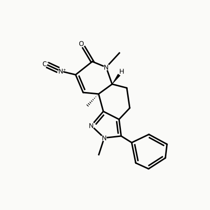 [C-]#[N+]C1=C[C@]2(C)c3nn(C)c(-c4ccccc4)c3CC[C@H]2N(C)C1=O